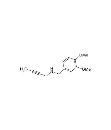 CC#CCNCc1ccc(OC)c(OC)c1